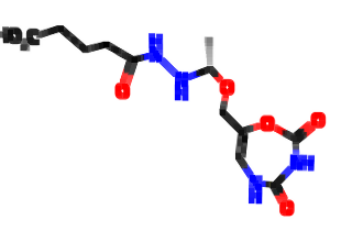 C[C@@H](NNC(=O)CCCC(=O)O)OCC1=CNC(=O)NC(=O)O1